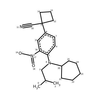 CC(C)CN(c1ccc(C2(C#N)CCC2)cc1[N+](=O)[O-])C1CCCCC1